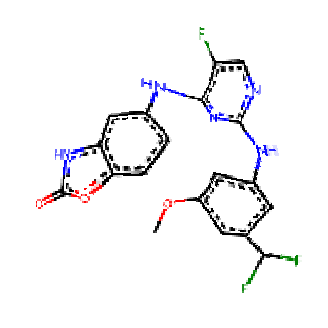 COc1cc(Nc2ncc(F)c(Nc3ccc4oc(=O)[nH]c4c3)n2)cc(C(F)F)c1